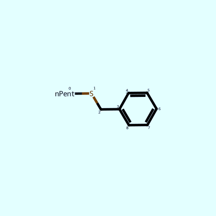 CCCCCSCc1[c]cccc1